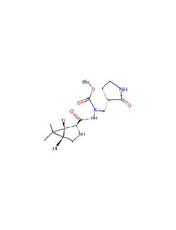 CC(C)(C)OC(=O)N(C[C@@H]1CCNC1=O)NC(=O)[C@H]1NC[C@H]2[C@@H]1C2(C)C